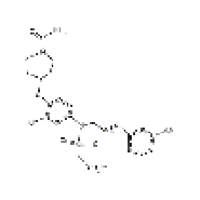 CCOC(=O)CS(=O)(=O)N(C/C=C/c1cccc(C#N)c1)c1ccc(OC2CCN(C(N)=O)CC2)c(Cl)c1